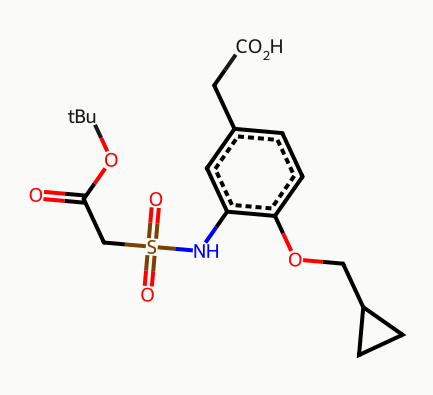 CC(C)(C)OC(=O)CS(=O)(=O)Nc1cc(CC(=O)O)ccc1OCC1CC1